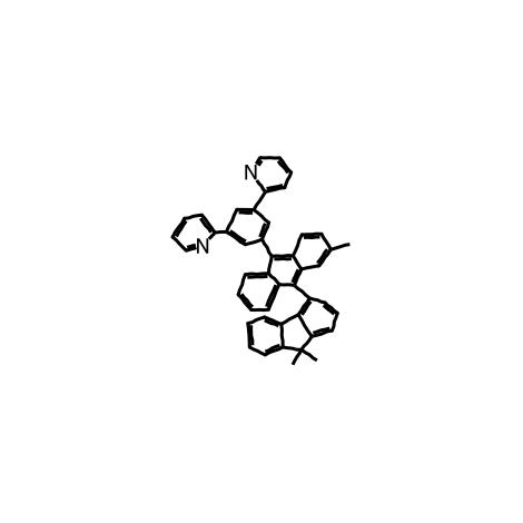 Cc1ccc2c(-c3cc(-c4ccccn4)cc(-c4ccccn4)c3)c3ccccc3c(-c3cccc4c3-c3ccccc3C4(C)C)c2c1